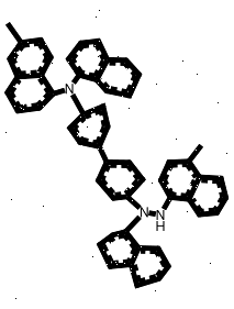 Cc1ccc2c(N(c3ccc(-c4ccc(N(Nc5ccc(C)c6ccccc56)c5cccc6ccccc56)cc4)cc3)c3cccc4ccccc34)cccc2c1